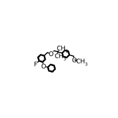 COCc1ccc(C(C)(C)COCc2ccc(F)c(Oc3ccccc3)c2)cc1